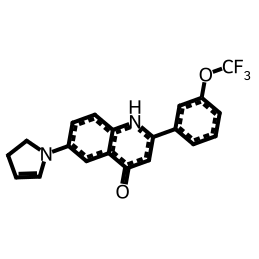 O=c1cc(-c2cccc(OC(F)(F)F)c2)[nH]c2ccc(N3C=CCC3)cc12